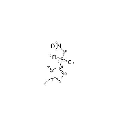 Cc1ccc(S(=O)(=O)C[N+](=O)[O-])s1